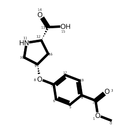 COC(=O)c1ccc(O[C@@H]2CN[C@H](C(=O)O)C2)cc1